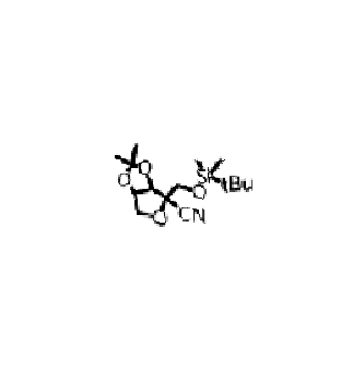 CC1(C)OC2COC(C#N)(CO[Si](C)(C)C(C)(C)C)C2O1